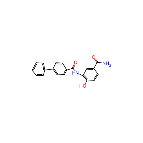 NC(=O)c1ccc(O)c(NC(=O)c2ccc(-c3ccccc3)cc2)c1